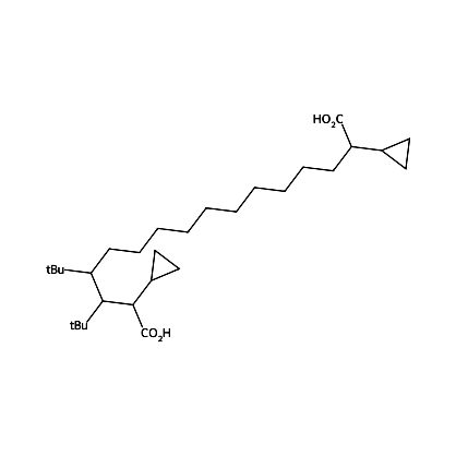 CC(C)(C)C(CCCCCCCCCCC(C(=O)O)C1CC1)C(C(C(=O)O)C1CC1)C(C)(C)C